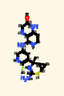 C[C@]1(c2cc(Nc3nccc4[nH]c(=O)cnc34)cnc2F)N=C(N)SC2CC21